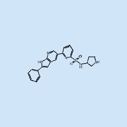 O=S(=O)(NC1CCNC1)c1cccc(-c2cnc3[nH]c(-c4ccccc4)cc3c2)n1